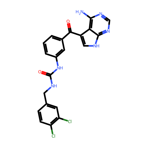 Nc1ncnc2[nH]cc(C(=O)c3cccc(NC(=O)NCc4ccc(Cl)c(Cl)c4)c3)c12